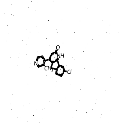 Cc1cnccc1-c1cc(=O)[nH]c2c1Cc1ccc(Cl)cc1-2